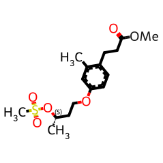 COC(=O)CCc1ccc(OCC[C@H](C)OS(C)(=O)=O)cc1C